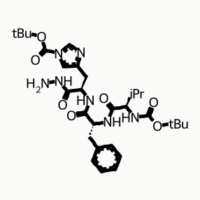 CC(C)[C@@H](NC(=O)OC(C)(C)C)C(=O)N[C@H](Cc1ccccc1)C(=O)N[C@H](Cc1cn(C(=O)OC(C)(C)C)cn1)C(=O)NN